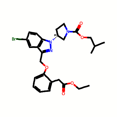 CCOC(=O)Cc1ccccc1OCc1nn([C@@H]2CCN(C(=O)OCC(C)C)C2)c2ccc(Br)cc12